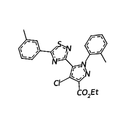 CCOC(=O)c1nn(-c2ccccc2C)c(-c2nsc(-c3cccc(C)c3)n2)c1Cl